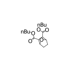 CCCCOC(=O)C1C2CCC(O2)C1C(=O)OCCCC